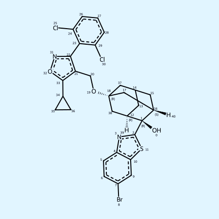 O[C@@]1(c2nc3ccc(Br)cc3s2)[C@@H]2CC3C[C@H]1C[C@](OCc1c(-c4c(Cl)cccc4Cl)noc1C1CC1)(C3)C2